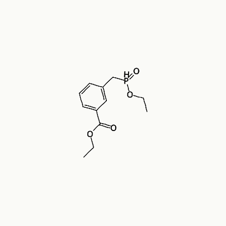 CCOC(=O)c1cccc(C[PH](=O)OCC)c1